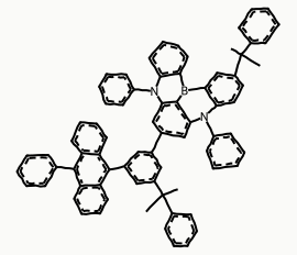 CC(C)(c1ccccc1)c1cc(-c2cc3c4c(c2)N(c2ccccc2)c2ccc(C(C)(C)c5ccccc5)cc2B4c2ccccc2N3c2ccccc2)cc(-c2c3ccccc3c(-c3ccccc3)c3ccccc23)c1